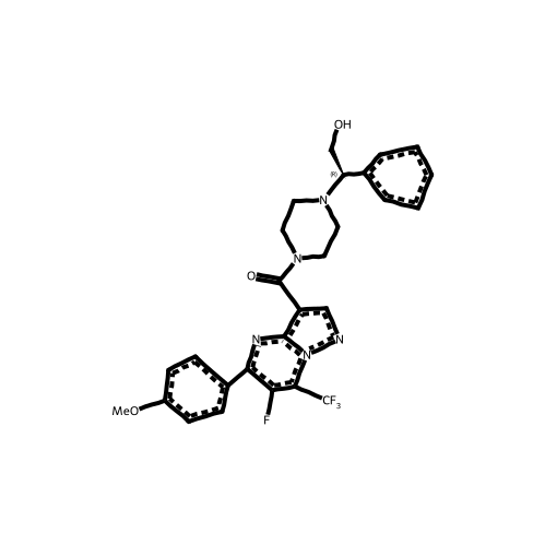 COc1ccc(-c2nc3c(C(=O)N4CCN([C@@H](CO)c5ccccc5)CC4)cnn3c(C(F)(F)F)c2F)cc1